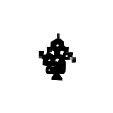 COc1cc(F)c(F)c(N(C(=O)C(F)(F)F)c2ccc(I)cc2F)c1NS(=O)(=O)C1CC1